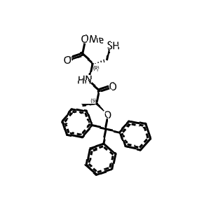 COC(=O)[C@H](CS)NC(=O)[C@H](C)OC(c1ccccc1)(c1ccccc1)c1ccccc1